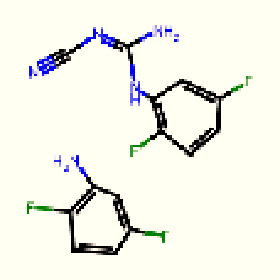 N#C/N=C(/N)Nc1cc(F)ccc1F.Nc1cc(F)ccc1F